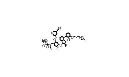 C[C@@](CO)(NCc1cc(Cl)c(O[C@@H]2c3cccc(-c4cccc(OCCCN5CC(F)C5)c4Cl)c3C[C@@H]2F)cc1OCc1cncc(C#N)c1)C(=O)O